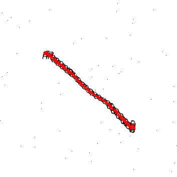 O=C(CCSSc1ccccn1)NCCOCCOCCOCCOCCOCCOCCOCCOCCOCCOCCOCCOCCOCCOCCOCCOCCOCCOCCOCCOCCOCCOCCOCCOCCOCCOCCOCCOCCOCCOCCOCCOCCOCCOCCOCCOCCC(=O)ON1C(=O)CCC1=O